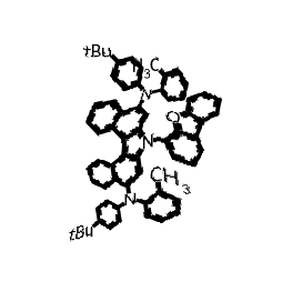 Cc1ccccc1N(c1ccc(C(C)(C)C)cc1)c1cc2c(c3ccccc13)c1c3ccccc3c(N(c3ccc(C(C)(C)C)cc3)c3ccccc3C)cc1n2-c1cccc2c1oc1ccccc12